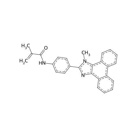 C=C(C)C(=O)Nc1ccc(-c2nc3c4ccccc4c4ccccc4c3n2C)cc1